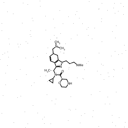 CNCCCn1nc([C@@H](C)N(C(=O)[C@H]2CNCCO2)C2CC2)c2c1CC(CN(C)C)C=C2